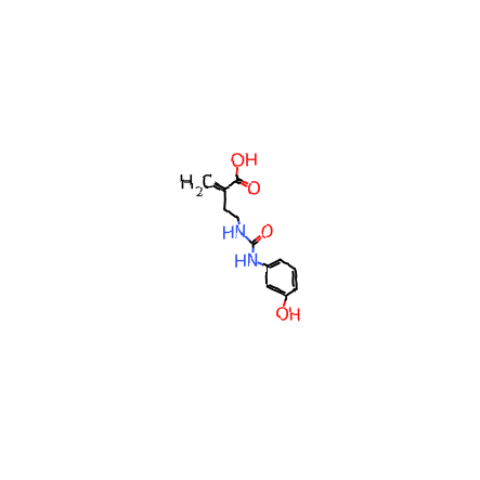 C=C(CCNC(=O)Nc1cccc(O)c1)C(=O)O